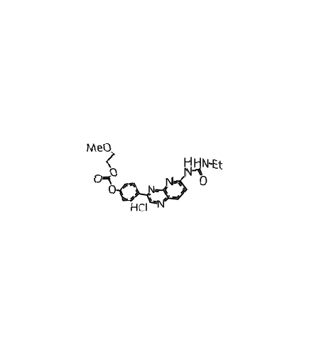 CCNC(=O)Nc1ccc2ncc(-c3ccc(OC(=O)OCCOC)cc3)nc2n1.Cl